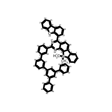 C[Si]1(C)c2ccccc2-c2ccc3c(-c4cccc5c4oc4ccccc45)nc(-c4cccc(-c5cccc(-c6cc(-c7ccccc7)cc(-c7ccccc7)c6)c5)c4)nc3c21